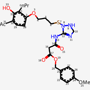 CCCc1c(OCCCSN2NCN=C2NC(=O)CC(=O)OCc2ccc(OC)cc2)ccc(C(C)=O)c1O